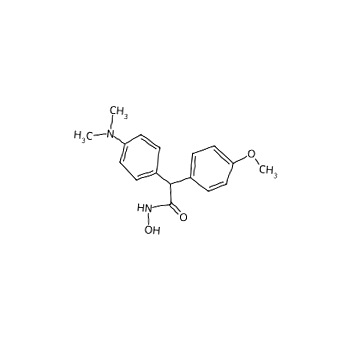 COc1ccc(C(C(=O)NO)c2ccc(N(C)C)cc2)cc1